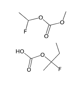 CCC(C)(F)OC(=O)O.COC(=O)OC(C)F